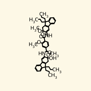 CCCC1(CCC)C2=C(C=C(NC(=O)c3ccc(C(=O)NC4=CC5=C(CC4(O)OC)C(CCC)(CCC)c4ccccc45)c(OC)c3)C(O)(OC)C2)c2ccccc21